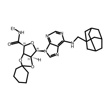 CCNC(=O)[C@H]1O[C@@H](n2cnc3c(NCC45CC6CC(CC(C6)C4)C5)ncnc32)[C@H]2OC3(CCCCC3)OC12